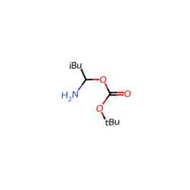 CCC(C)C(N)OC(=O)OC(C)(C)C